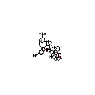 CC[C@]12C=CCN3CC[C@@]4(c5cc([C@@]6(C(=O)OC)C[C@H]7CC(C(C)(F)F)CN(CCc8c6[nH]c6ccc(C#N)cc86)C7)c(OC)cc5N(C)[C@H]4[C@@](O)(C(=O)OC)[C@@H]1OC(C)=O)[C@@H]32